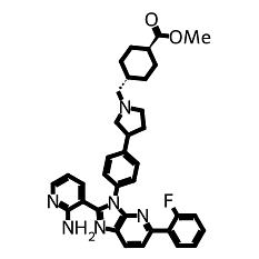 COC(=O)[C@H]1CC[C@H](CN2CCC(c3ccc(-n4c(-c5cccnc5N)nc5ccc(-c6ccccc6F)nc54)cc3)C2)CC1